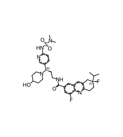 CC(C)[C@]1(F)CCc2nc3c(F)cc(C(=O)NCC[C@H](c4ccc(NS(=O)(=O)N(C)C)nc4)N4CCC(O)CC4)cc3cc2C1